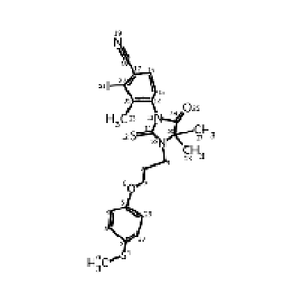 CSc1ccc(OCCCN2C(=S)N(c3ccc(C#N)c(I)c3C)C(=O)C2(C)C)cc1